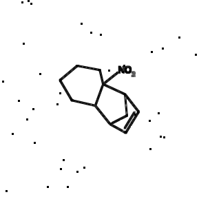 O=[N+]([O-])C12CCCCC1C1C=CC2C1